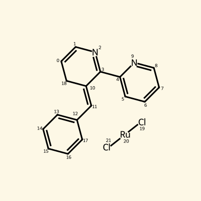 C1=CN=C(c2ccccn2)C(=Cc2ccccc2)C1.[Cl][Ru][Cl]